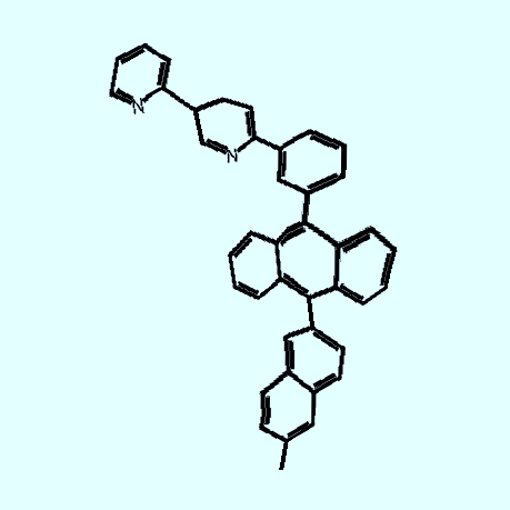 Cc1ccc2cc(-c3c4ccccc4c(-c4cccc(C5=CCC(c6ccccn6)C=N5)c4)c4ccccc34)ccc2c1